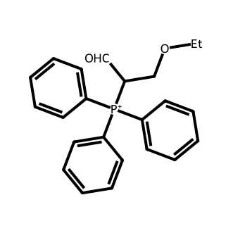 CCOCC(C=O)[P+](c1ccccc1)(c1ccccc1)c1ccccc1